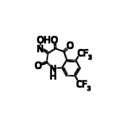 O=C1Nc2cc(C(F)(F)F)cc(C(F)(F)F)c2C(=O)C(=O)C1=NO